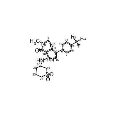 Cn1cnc2c(-c3ccc(C(F)(F)F)cc3)cnc(N[C@@H]3CCCS(=O)(=O)C3)c2c1=O